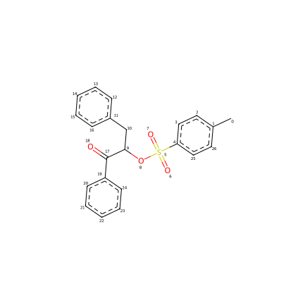 Cc1ccc(S(=O)(=O)OC(Cc2ccccc2)C(=O)c2ccccc2)cc1